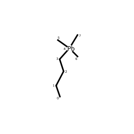 CCC[CH2][Pb]([CH3])([CH3])[CH3]